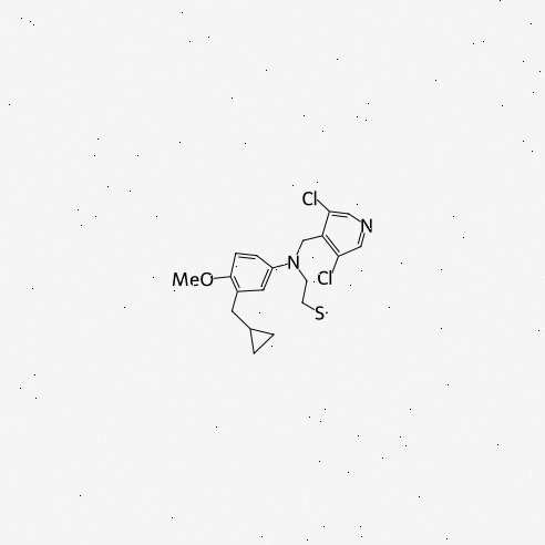 COc1ccc(N(CC[S])Cc2c(Cl)cncc2Cl)cc1CC1CC1